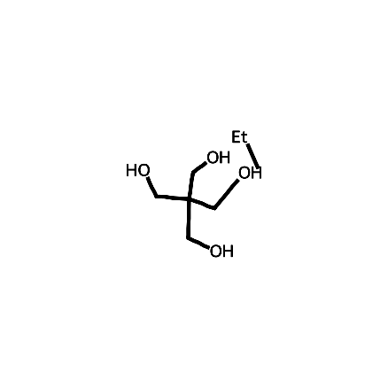 CCC.OCC(CO)(CO)CO